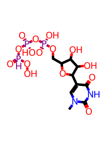 Cn1cc(C2OC(COP(=O)(O)OP(=O)(O)O[PH](=O)OO)C(O)C2O)c(=O)[nH]c1=O